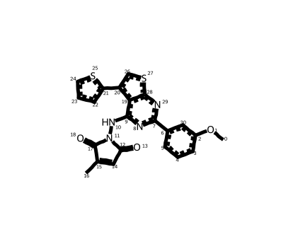 COc1cccc(-c2nc(NN3C(=O)C=C(C)C3=O)c3c(-c4cccs4)csc3n2)c1